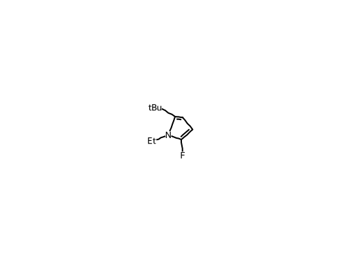 CCn1c(F)ccc1C(C)(C)C